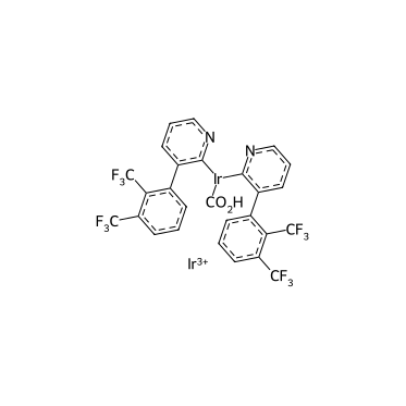 O=[C](O)[Ir]([c]1ncccc1-c1cccc(C(F)(F)F)c1C(F)(F)F)[c]1ncccc1-c1cccc(C(F)(F)F)c1C(F)(F)F.[Ir+3]